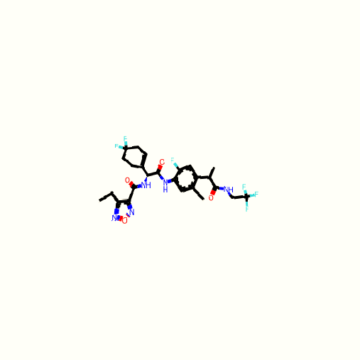 CCc1nonc1C(=O)N[C@H](C(=O)Nc1cc(C)c(C(C)C(=O)NCC(F)(F)F)cc1F)C1=CCC(F)(F)CC1